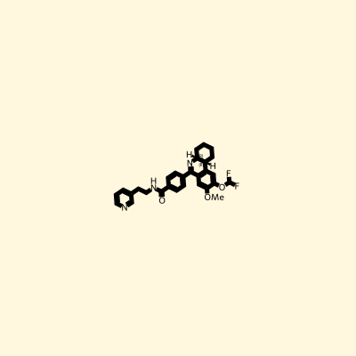 COc1cc2c(cc1OC(F)F)[C@H]1CCCC[C@H]1N=C2c1ccc(C(=O)NCCc2cccnc2)cc1